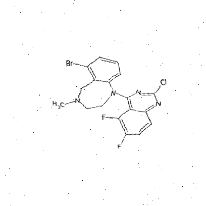 CN1CCN(c2nc(Cl)nc3ccc(F)c(F)c23)c2cccc(Br)c2C1